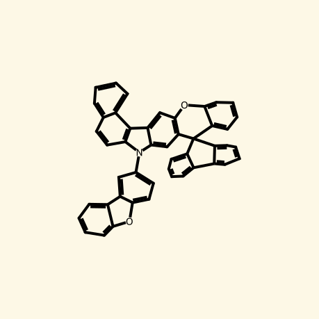 c1ccc2c(c1)Oc1cc3c4c5ccccc5ccc4n(-c4ccc5oc6ccccc6c5c4)c3cc1C21c2ccccc2-c2ccccc21